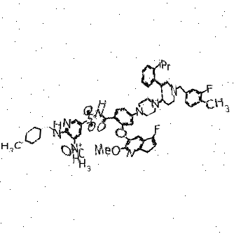 COc1nc2c(cc1Oc1cc(N3CCN(C4CCN(Cc5ccc(C)c(F)c5)CC4c4ccccc4C(C)C)CC3)ccc1C(=O)NS(=O)(=O)c1cnc(NC[C@H]3CC[C@@H](C)CC3)c([NH+](C)[O-])c1)C(F)=CC2